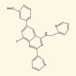 COc1cccc(-c2cc(F)c3nc(-c4cccnc4)nc(NCc4ccccn4)c3c2)c1